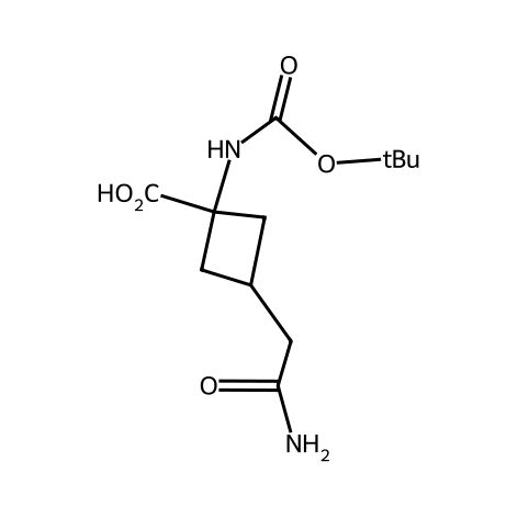 CC(C)(C)OC(=O)NC1(C(=O)O)CC(CC(N)=O)C1